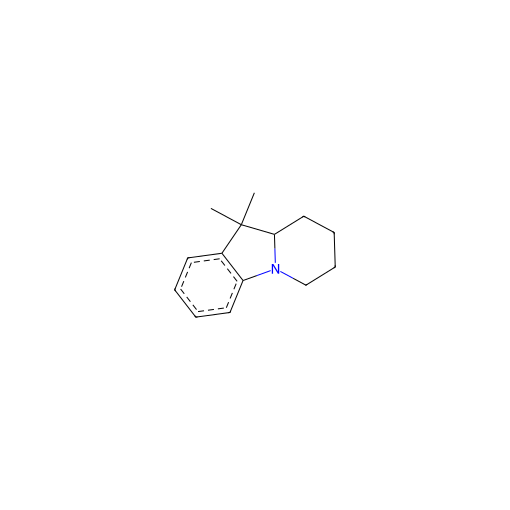 CC1(C)c2ccccc2N2CCCCC21